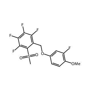 COc1ccc(OCc2c(F)c(F)c(F)c(F)c2S(C)(=O)=O)cc1F